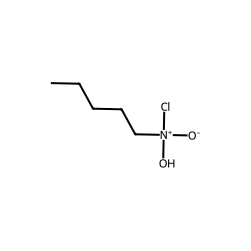 CCCCC[N+]([O-])(O)Cl